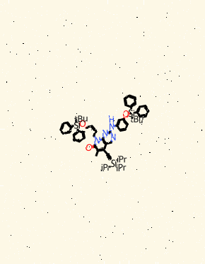 Cc1c(C#C[Si](C(C)C)(C(C)C)C(C)C)c2cnc(Nc3cccc(O[Si](c4ccccc4)(c4ccccc4)C(C)(C)C)c3)nc2n(C/C=C\CO[Si](c2ccccc2)(c2ccccc2)C(C)(C)C)c1=O